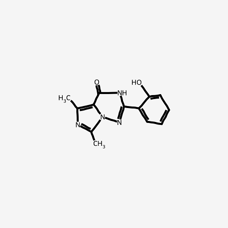 Cc1nc(C)n2nc(-c3ccccc3O)[nH]c(=O)c12